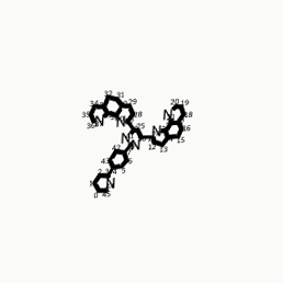 c1ccc(-c2ccc(-c3nc(-c4ccc5ccc6cccnc6c5n4)cc(-c4ccc5ccc6cccnc6c5n4)n3)cc2)nc1